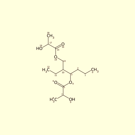 CCCC(OC(=O)C(C)O)C(CC)COC(=O)C(C)O